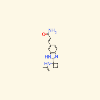 C=C(C)NC1(c2nc3ccc(/C=C/C(N)=O)cc3[nH]2)CCC1